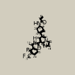 C=CC(=O)NC1CC=C(C2=CN3C[C@@H](C)N=C3C(C(=O)N[C@H](C)c3cccc(C(F)(F)F)c3F)=C2)CC1